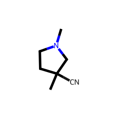 CN1CCC(C)(C#N)C1